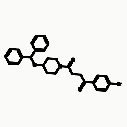 O=C(CCC(=O)N1CCC(OC(c2ccccc2)c2ccccc2)CC1)c1ccc(Br)cc1